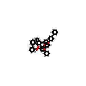 c1ccc(-c2ccc(-c3ccc(N(c4ccccc4)c4ccc5c(c4)C4(c6ccccc6-c6ccccc6-5)c5ccccc5-c5c4c4ccccc4c4ccccc54)cc3)cc2)cc1